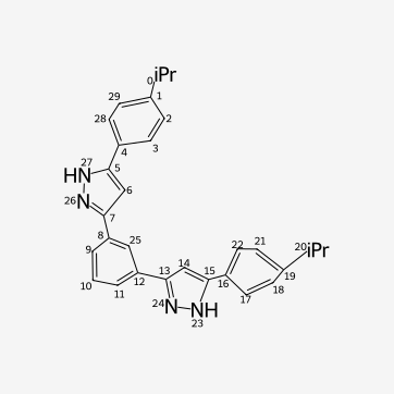 CC(C)c1ccc(-c2cc(-c3cccc(-c4cc(-c5ccc(C(C)C)cc5)[nH]n4)c3)n[nH]2)cc1